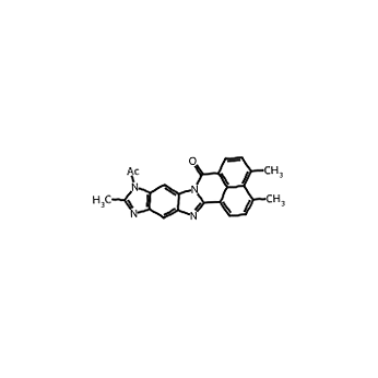 CC(=O)n1c(C)nc2cc3nc4c5ccc(C)c6c(C)ccc(c(=O)n4c3cc21)c65